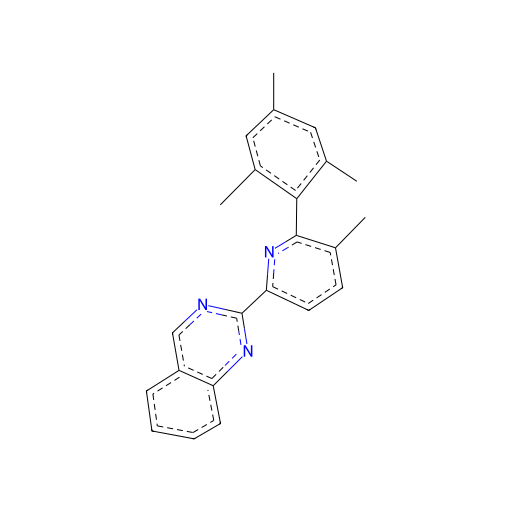 Cc1cc(C)c(-c2nc(-c3ncc4ccccc4n3)ccc2C)c(C)c1